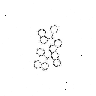 c1ccc(N(c2cccc3ccccc23)c2cccc3c2ccc2c(N(c4ccccc4)c4cccc5ccccc45)c4ccccc4cc23)cc1